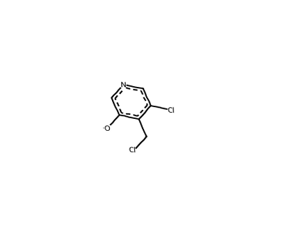 [O]c1cncc(Cl)c1CCl